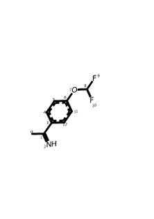 CC(=N)c1ccc(OC(F)F)cc1